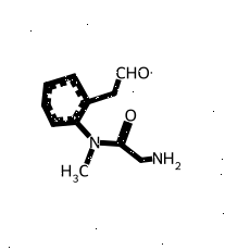 CN(C(=O)CN)c1ccccc1C[C]=O